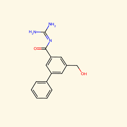 NC(N)=NC(=O)c1cc(CO)cc(-c2ccccc2)c1